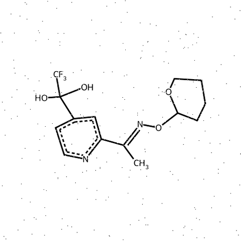 C/C(=N\OC1CCCCO1)c1cc(C(O)(O)C(F)(F)F)ccn1